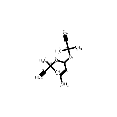 C#CC(C)(C)OC(C=C[SiH3])OC(C)(C)C#C